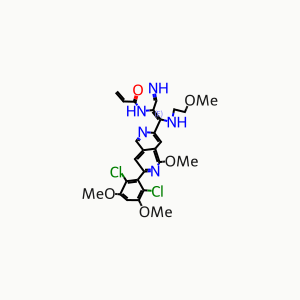 C=CC(=O)N/C(C=N)=C(/NCCOC)c1cc2c(OC)nc(-c3c(Cl)c(OC)cc(OC)c3Cl)cc2cn1